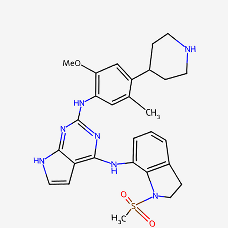 COc1cc(C2CCNCC2)c(C)cc1Nc1nc(Nc2cccc3c2N(S(C)(=O)=O)CC3)c2cc[nH]c2n1